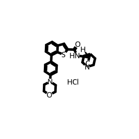 Cl.O=C(N[C@H]1CN2CCC1CC2)c1cc2cccc(-c3ccc(N4CCOCC4)cc3)c2s1